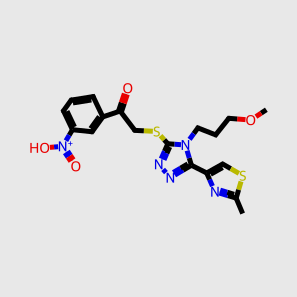 COCCCn1c(SCC(=O)c2cccc([N+](=O)O)c2)nnc1-c1csc(C)n1